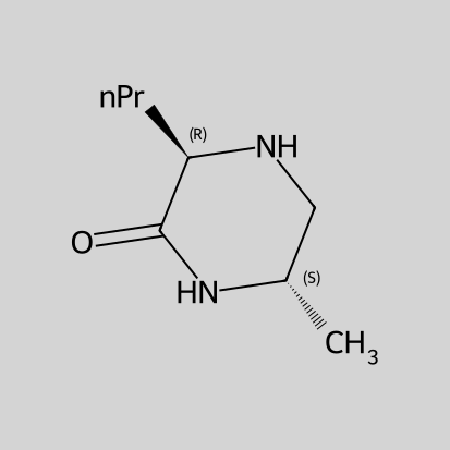 CCC[C@H]1NC[C@H](C)NC1=O